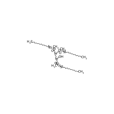 CCCCCCCCCCCCCCSSSCC(C)OC(=O)CCN(CCO)CCCN(CCC(=O)OC(C)CSSSCCCCCCCCCCCCCC)CCC(=O)OC(C)CSSSCCCCCCCCCCCCCC